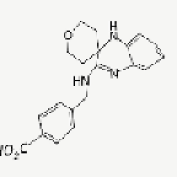 O=C(O)c1ccc(CNC2=Nc3ccccc3NC23CCOCC3)cc1